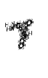 N=C(N)N1CCOC(CNC(=O)[C@@H](CC(=O)c2ccccc2N)NS(=O)(=O)c2ccc3ccccc3c2)C1